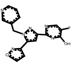 Oc1nc(-c2cc(-c3ccon3)n(Cc3cccnc3)n2)ncc1F